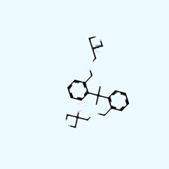 CCC1(COCc2ccccc2C(C)(C)c2ccccc2COCC2(CC)COC2)COC1